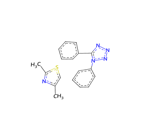 Cc1csc(C)n1.c1ccc(-c2nnnn2-c2ccccc2)cc1